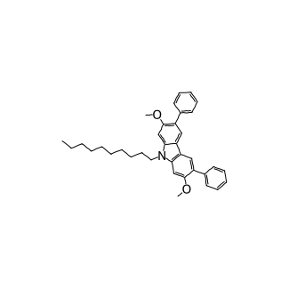 CCCCCCCCCCn1c2cc(OC)c(-c3ccccc3)cc2c2cc(-c3ccccc3)c(OC)cc21